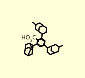 CC1CC2CCC(c3cc(C4CCC5CC(C)CC4C5)c(C(=O)O)c(C4C5CC6CC(C5)CC4C6)c3)C(C1)C2